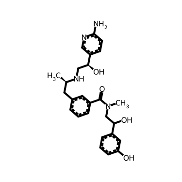 C[C@H](Cc1cccc(C(=O)N(C)CC(O)c2cccc(O)c2)c1)NC[C@H](O)c1ccc(N)nc1